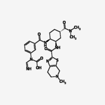 CN1CCc2nc(C(=O)N[C@@H]3C[C@@H](C(=O)N(C)C)CC[C@@H]3NC(=O)c3cccc(N(C=N)C(=O)O)c3)sc2C1